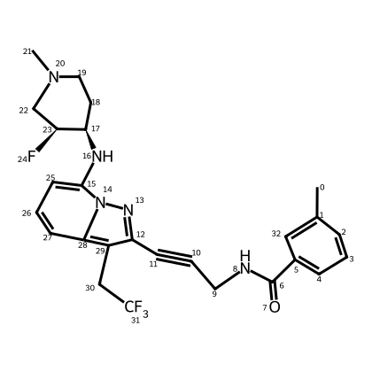 Cc1cccc(C(=O)NCC#Cc2nn3c(N[C@@H]4CCN(C)C[C@@H]4F)cccc3c2CC(F)(F)F)c1